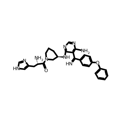 N=C(c1ccc(Oc2ccccc2)cc1)c1c(N)ncnc1N[C@@H]1CCCN(C(=O)[C@@H](N)Cc2c[nH]cn2)C1